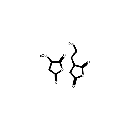 CCCCCCCCC1CC(=O)OC1=O.CCCCCCCCCCCCC1CC(=O)OC1=O